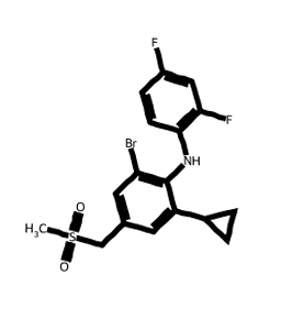 CS(=O)(=O)Cc1cc(Br)c(Nc2ccc(F)cc2F)c(C2CC2)c1